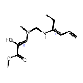 C=C/C=C(\CC)NCN(C)/C=C(\O)C(=O)OC